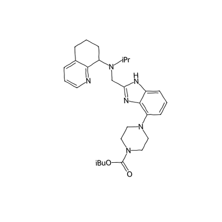 CC(C)COC(=O)N1CCN(c2cccc3[nH]c(CN(C(C)C)C4CCCc5cccnc54)nc23)CC1